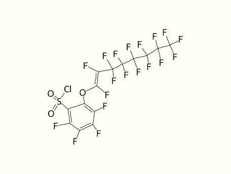 O=S(=O)(Cl)c1c(F)c(F)c(F)c(F)c1OC(F)=C(F)C(F)(F)C(F)(F)C(F)(F)C(F)(F)C(F)(F)C(F)(F)F